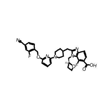 N#Cc1ccc(COc2cccc(N3CCC(Cc4nc5ccc(C(=O)O)c(F)c5n4C[C@@H]4CCO4)CC3)n2)c(F)c1